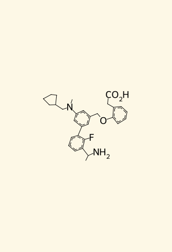 CC(N)c1cccc(-c2cc(COc3ccccc3CC(=O)O)cc(N(C)CC3CCCC3)c2)c1F